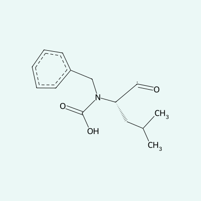 CC(C)C[C@@H]([C]=O)N(Cc1ccccc1)C(=O)O